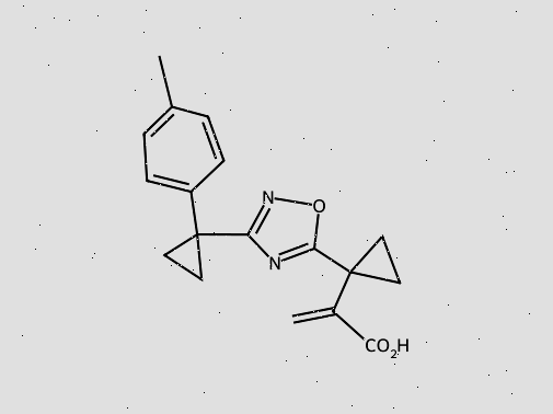 C=C(C(=O)O)C1(c2nc(C3(c4ccc(C)cc4)CC3)no2)CC1